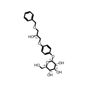 OC[C@H]1O[C@@H](Oc2ccc(OC[C@@H](O)COCc3ccccc3)cc2)[C@H](O)[C@@H](O)[C@@H]1O